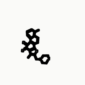 Cc1c(CN2CCSCC2)oc2c1C(=O)C(=O)c1c-2ccc2c(C)cccc12